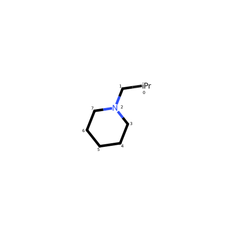 CC(C)CN1CCCCC1